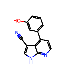 N#Cc1c[nH]c2nccc(-c3cccc(O)c3)c12